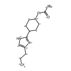 CC(C)(C)C(=O)ON1CCC(c2nc(CCC(F)(F)F)c[nH]2)CC1